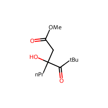 CCCC(O)(CC(=O)OC)C(=O)C(C)(C)C